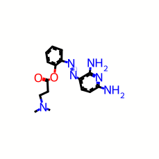 CN(C)CCC(=O)Oc1ccccc1/N=N/c1ccc(N)nc1N